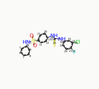 O=S(=O)(Nc1ccccc1)c1ccc(NC(=S)Nc2ccc(F)c(Cl)c2)cc1